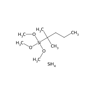 CCCC(C)(C)[Si](OC)(OC)OC.[SiH4]